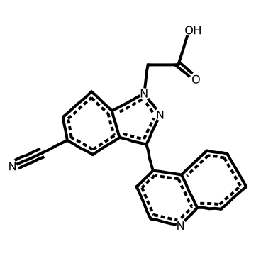 N#Cc1ccc2c(c1)c(-c1ccnc3ccccc13)nn2CC(=O)O